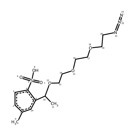 Cc1ccc(S(=O)(=O)O)c(C(C)OCCOCCOCCN=[N+]=[N-])c1